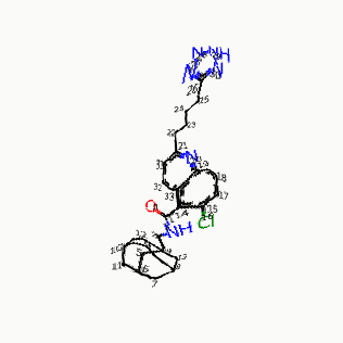 O=C(NCC12CC3CC(CC(C3)C1)C2)c1c(Cl)ccc2nc(CCCCc3nn[nH]n3)ccc12